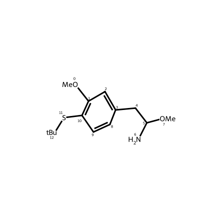 COc1cc(CC(N)OC)ccc1SC(C)(C)C